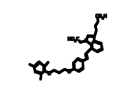 Cc1cc(C)c(OCCCOc2ccc(C=Cc3cccc4c(CCCC(=O)O)cn(CC(=O)O)c34)cc2)c(C)c1